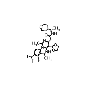 Cc1nc(CC(=O)NN(C)C2CCOCC2)c(C2OCCO2)c(NC(C)c2cccc(C(F)F)c2F)n1